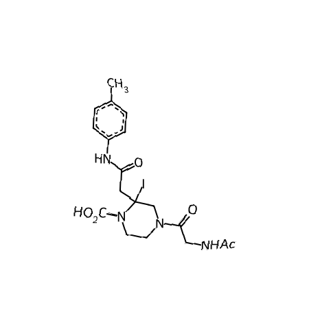 CC(=O)NCC(=O)N1CCN(C(=O)O)C(I)(CC(=O)Nc2ccc(C)cc2)C1